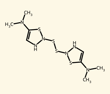 CN(C)C1=CNN(SSN2NC=C(N(C)C)S2)S1